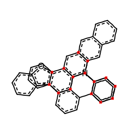 c1ccc(-c2ccccc2-c2c(-c3ccccc3)cccc2-c2ccccc2N(c2ccc3ccccc3c2)c2ccc3c(c2)oc2ccccc23)cc1